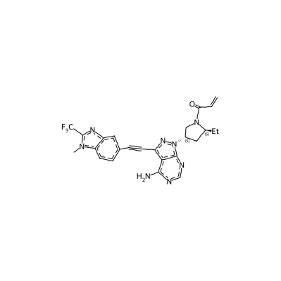 C=CC(=O)N1C[C@@H](n2nc(C#Cc3ccc4c(c3)nc(C(F)(F)F)n4C)c3c(N)ncnc32)C[C@@H]1CC